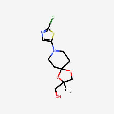 CC1(CO)COC2(CCN(c3cnc(Cl)s3)CC2)O1